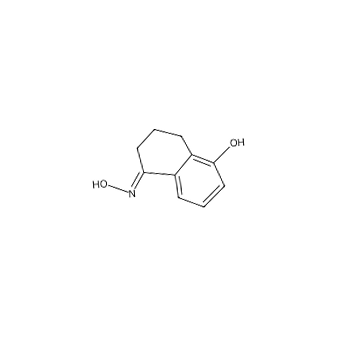 ON=C1CCCc2c(O)cccc21